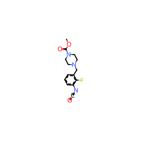 COC(=O)N1CCN(Cc2cccc(N=C=O)c2F)CC1